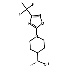 C[C@@H](O)C1CCN(c2nc(C(C)(F)F)no2)CC1